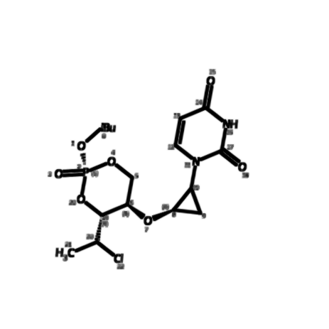 CCC(C)O[P@]1(=O)OC[C@@H](O[C@@H]2CC2n2ccc(=O)[nH]c2=O)[C@H](C(C)Cl)O1